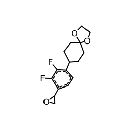 Fc1c(C2CCC3(CC2)OCCO3)ccc(C2CO2)c1F